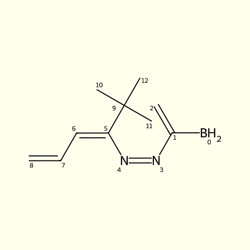 BC(=C)/N=N\C(=C/C=C)C(C)(C)C